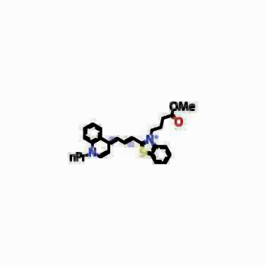 CCCN1C=C/C(=C\C=C\c2sc3ccccc3[n+]2CCCC(=O)OC)c2ccccc21